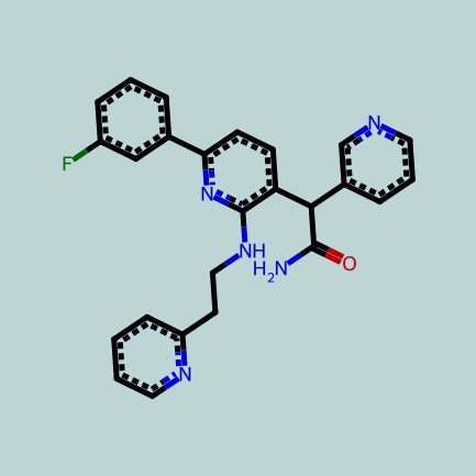 NC(=O)C(c1cccnc1)c1ccc(-c2cccc(F)c2)nc1NCCc1ccccn1